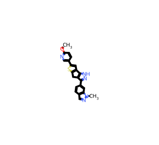 COc1ccc(-c2cc3c(s2)Cc2c(-c4ccc5cnn(C)c5c4)n[nH]c2-3)cn1